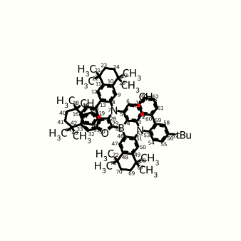 Cc1cc2c3c(c1)N(c1cc4c(cc1-c1ccccc1)C(C)(C)CCC4(C)C)c1c(oc4cc5c(cc14)C(C)(C)CCC5(C)C)B3c1cc3c(cc1N2c1ccc(C(C)(C)C)cc1-c1ccccc1)C(C)(C)CCC3(C)C